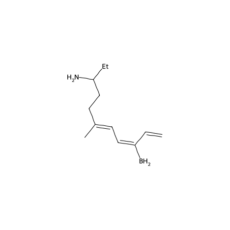 B/C(C=C)=C/C=C(\C)CCC(N)CC